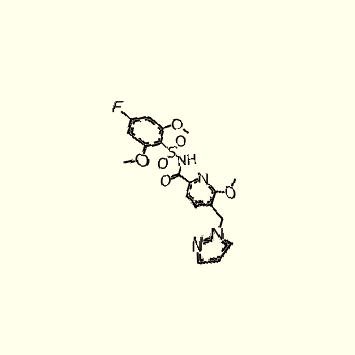 COc1cc(F)cc(OC)c1S(=O)(=O)NC(=O)c1ccc(Cn2cccn2)c(OC)n1